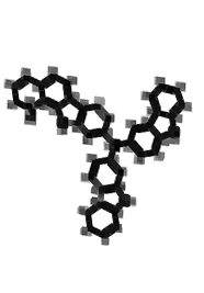 C1=Cc2oc3cc(N(c4ccc5c(c4)oc4c6c(ccc45)C=CCN6)c4ccc5oc6ccccc6c5c4)ccc3c2CC1